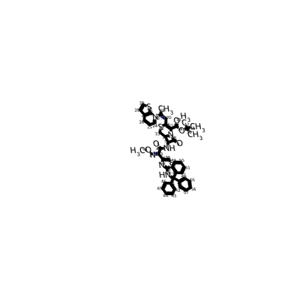 CO/N=C(\C(=O)NC1C(=O)N2C(C(=O)OC(C)(C)C)=C(/C=C(/C)[n+]3cccc4ccsc43)SCC12)c1csc(NC(c2ccccc2)(c2ccccc2)c2ccccc2)n1